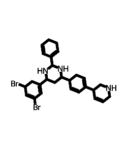 BrC1=CC(Br)CC(C2CC(C3C=CC(C4C=CCNC4)=CC3)NC(C3=CCCC=C3)N2)=C1